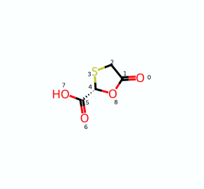 O=C1CS[C@@H](C(=O)O)O1